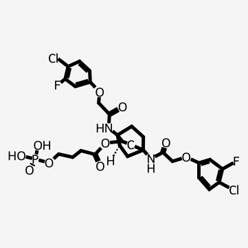 O=C(COc1ccc(Cl)c(F)c1)NC12CCC(NC(=O)COc3ccc(Cl)c(F)c3)(CC1)[C@H](OC(=O)CCCOP(=O)(O)O)C2